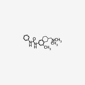 Cc1cc(NC(=O)Nc2ccccc2)cc2c1CC(CN(C)C)CC2